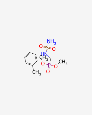 COP(=O)(CNS(N)(=O)=O)OC.Cc1ccccc1